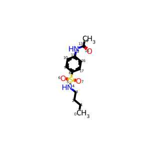 CCCCNS(=O)(=O)c1ccc(NC(C)=O)cc1